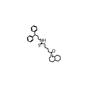 O=C(CCCSC(=S)NCCC(c1ccccc1)c1ccccc1)N1CCCC2CCCCC21